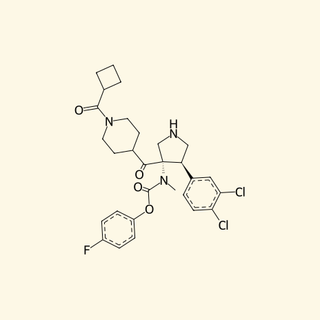 CN(C(=O)Oc1ccc(F)cc1)[C@]1(C(=O)C2CCN(C(=O)C3CCC3)CC2)CNC[C@H]1c1ccc(Cl)c(Cl)c1